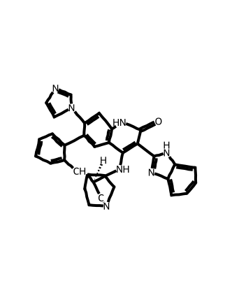 Cc1ccccc1-c1cc2c(N[C@H]3CN4CCC3CC4)c(-c3nc4ccccc4[nH]3)c(=O)[nH]c2cc1-n1ccnc1